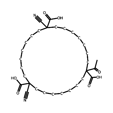 CC(=O)C1(C(=O)O)CCCCCCCC(C#N)(C(=O)O)CCCCCCCC(C#N)(C(=O)O)CCCCCCC1